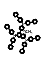 C[SiH]1c2cc(N(c3ccc(-c4ccccc4)cc3)c3ccc(-c4ccccc4)cc3)ccc2-c2cc(N(c3ccc(-c4ccccc4)cc3)c3ccc(-c4ccccc4)cc3)cc3cc(N(c4ccc(-c5ccccc5)cc4)c4ccc(-c5ccccc5)cc4)cc1c23